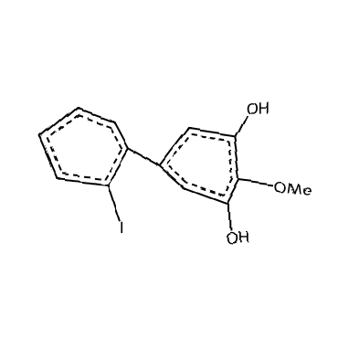 COc1c(O)cc(-c2ccccc2I)cc1O